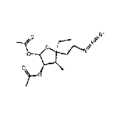 CC[C@@]1(CCN=[N+]=[N-])OC(OC(C)=O)[C@H](OC(C)=O)[C@@H]1C